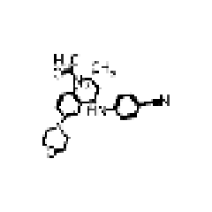 CC(=O)N1c2ccc(N3CCOCC3)cc2[C@@H](Nc2ccc(C#N)cc2)C[C@H]1C